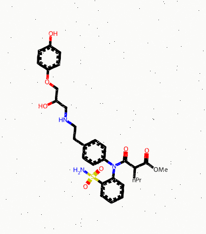 CCCC(C(=O)OC)C(=O)N(c1ccc(CCNCC(O)COc2ccc(O)cc2)cc1)c1ccccc1S(N)(=O)=O